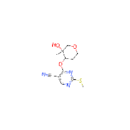 CSc1ncc(C#N)c(OC2CCOCC2(C)O)n1